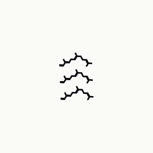 C=C/C(C)=C/C/C=C(\C)CCC=C(C)C.C=C/C(C)=C/C/C=C(\C)CCC=C(C)C.C=C/C(C)=C/C/C=C(\C)CCC=C(C)C